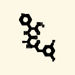 C[C@H](NC(=O)Cc1cc(F)cc(F)c1)C(=O)NC(C(N)=O)c1ccncc1